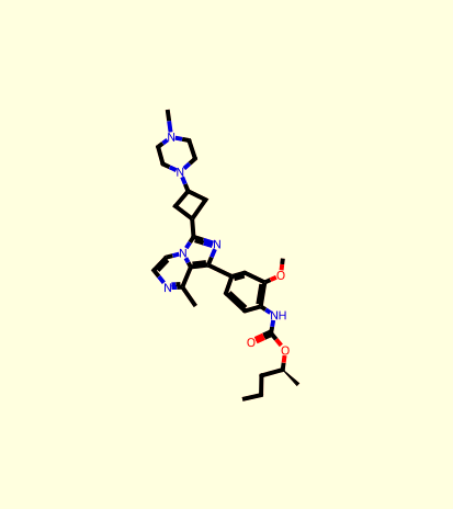 CCC[C@H](C)OC(=O)Nc1ccc(-c2nc(C3CC(N4CCN(C)CC4)C3)n3ccnc(C)c23)cc1OC